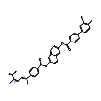 C=C(F)/C(C)=C\C=C(/C)c1ccc(C(=O)Oc2ccc3cc(OC(=O)c4ccc(-c5ccc(C)c(F)c5)cc4)ccc3c2)cc1